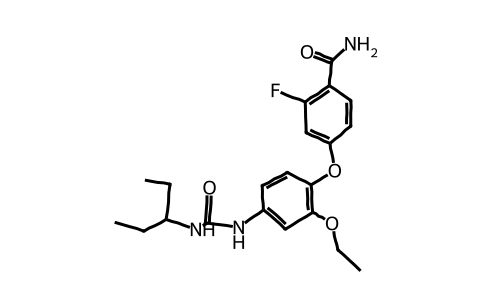 CCOc1cc(NC(=O)NC(CC)CC)ccc1Oc1ccc(C(N)=O)c(F)c1